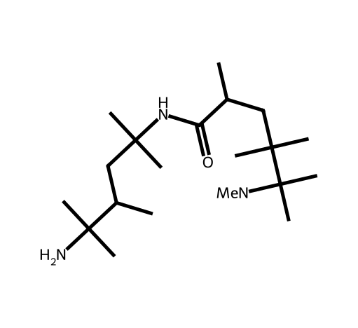 CNC(C)(C)C(C)(C)CC(C)C(=O)NC(C)(C)CC(C)C(C)(C)N